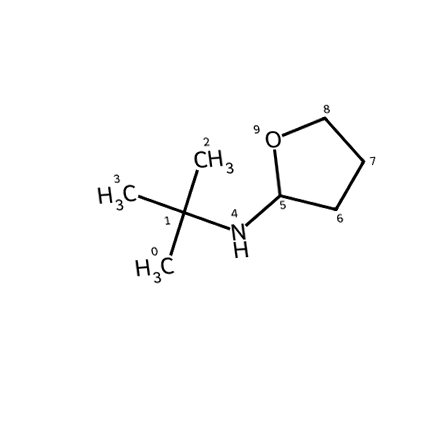 CC(C)(C)NC1CCCO1